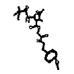 COc1ccc(CCNC(=O)COC(=O)c2c(NC(=O)C(C)(C)C)sc(C)c2C)cc1